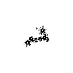 CCCc1cc(C)[nH]c(=O)c1CNC(=O)c1cc(-c2ccc(N3CCN(Cc4ccccc4NC4CCC(=O)NC4=O)CC3)nc2)cc2c1cnn2C(C)C